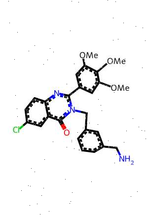 COc1cc(-c2nc3ccc(Cl)cc3c(=O)n2Cc2cccc(CN)c2)cc(OC)c1OC